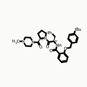 CC(C)C[C@@H](NC(=O)c1ccccc1OCc1ccc(C(C)(C)C)cc1)C(=O)N1CCC[C@@H]1C(=O)N1CCN(C)CC1